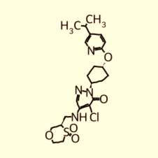 CC(C)c1ccc(O[C@H]2CC[C@H](n3ncc(NC[C@@H]4COCCS4(=O)=O)c(Cl)c3=O)CC2)nc1